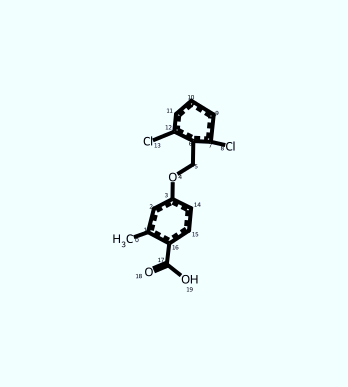 Cc1cc(OCc2c(Cl)cccc2Cl)ccc1C(=O)O